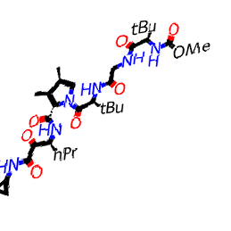 CCC[C@H](NC(=O)[C@@H]1C(C)[C@@H](C)CN1C(=O)[C@@H](NC(=O)CNC(=O)[C@H](NC(=O)OC)C(C)(C)C)C(C)(C)C)C(=O)C(=O)NC1CC1